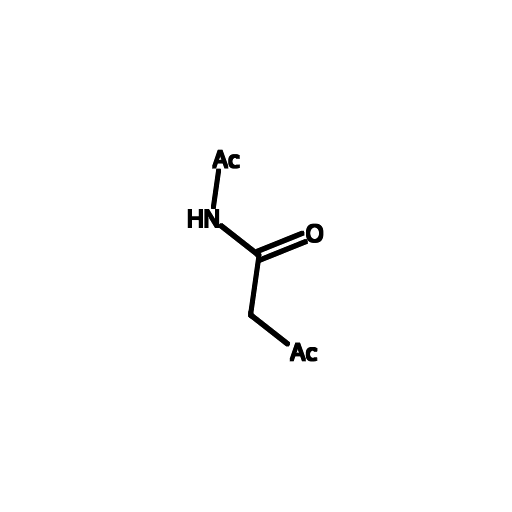 CC(=O)CC(=O)NC(C)=O